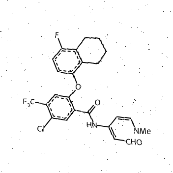 CN/C=C\C(=C/C=O)NC(=O)c1cc(Cl)c(C(F)(F)F)cc1Oc1ccc(F)c2c1CCCC2